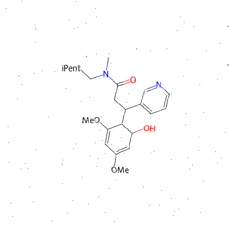 CCCC(C)CN(C)C(=O)CC(c1cccnc1)C1C(OC)=CC(OC)=CC1O